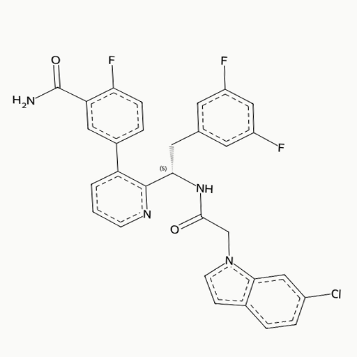 NC(=O)c1cc(-c2cccnc2[C@H](Cc2cc(F)cc(F)c2)NC(=O)Cn2ccc3ccc(Cl)cc32)ccc1F